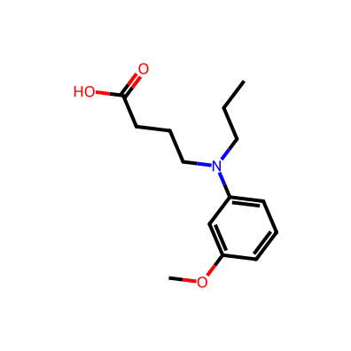 CCCN(CCCC(=O)O)c1cccc(OC)c1